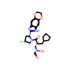 O=CN(O)C[C@@H](CC1CCCC1)C(=O)N1C[C@H](F)C[C@H]1c1nc2cc3c(cc2[nH]1)OCCO3